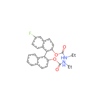 [CH2]CNC(=O)Oc1ccc2ccccc2c1-c1c(OC(=O)NC[CH2])ccc2cc(F)ccc12